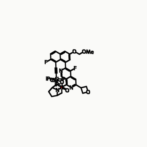 COCOc1cc(-c2ncc3c(N4CC5CCC(C4)N5C(=O)OC(C)(C)C)nc(C4COC4)cc3c2F)c2c(C#C[Si](C(C)C)(C(C)C)C(C)C)c(F)ccc2c1